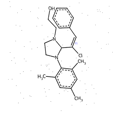 Cc1cc(C)c(N2CCN(CCO)C2/C(Cl)=C\c2ccccc2)c(C)c1